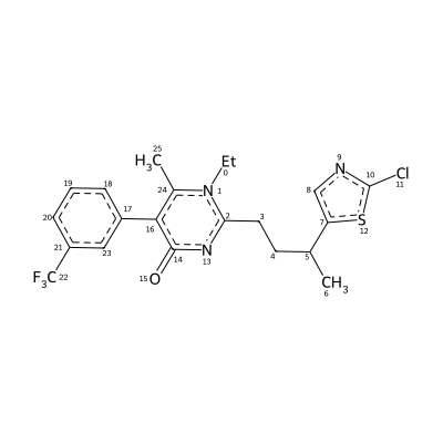 CCn1c(CCC(C)c2cnc(Cl)s2)nc(=O)c(-c2cccc(C(F)(F)F)c2)c1C